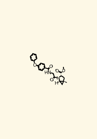 COC(=O)[C@@H]1C[C@]2(C)C[C@@H]2N1C(=O)CNC(=O)c1ccc(Oc2ccccc2)cc1